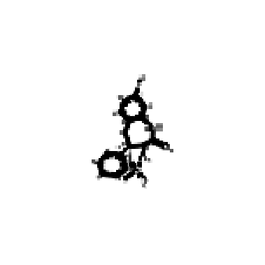 CS(=O)(=O)O[C@@H]1C(=O)Nc2cc(F)ccc2C[C@@H]1c1ccccc1